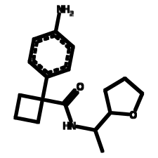 CC(NC(=O)C1(c2ccc(N)cc2)CCC1)C1CCCO1